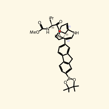 COC(=O)N[C@H](C(=O)N1CCC[C@H]1/C1=C\CCN/C(c2ccc3c(c2)Cc2cc(B4OC(C)(C)C(C)(C)O4)ccc2-3)=C\N1)C(C)C